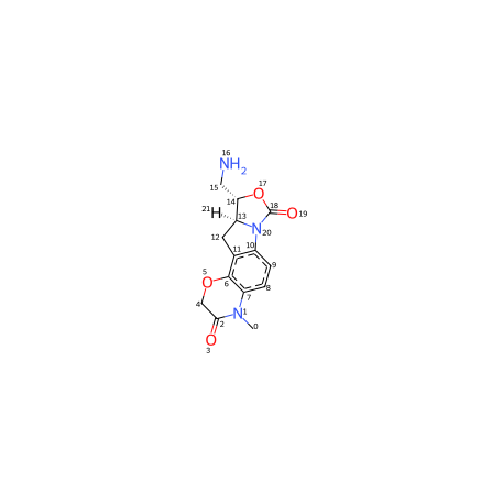 CN1C(=O)COc2c1ccc1c2C[C@H]2[C@H](CN)OC(=O)N12